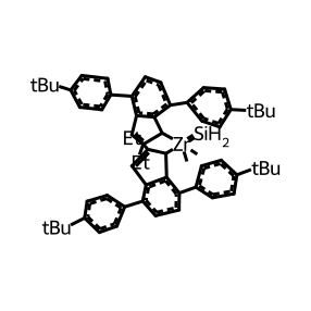 CCC1=Cc2c(-c3ccc(C(C)(C)C)cc3)ccc(-c3ccc(C(C)(C)C)cc3)c2[CH]1[Zr]([CH3])([CH3])(=[SiH2])[CH]1C(CC)=Cc2c(-c3ccc(C(C)(C)C)cc3)ccc(-c3ccc(C(C)(C)C)cc3)c21